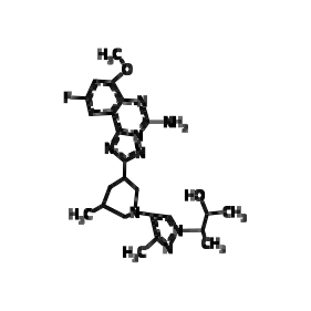 COc1cc(F)cc2c1nc(N)n1nc(C3CC(C)CN(c4cn(C(C)C(C)O)nc4C)C3)nc21